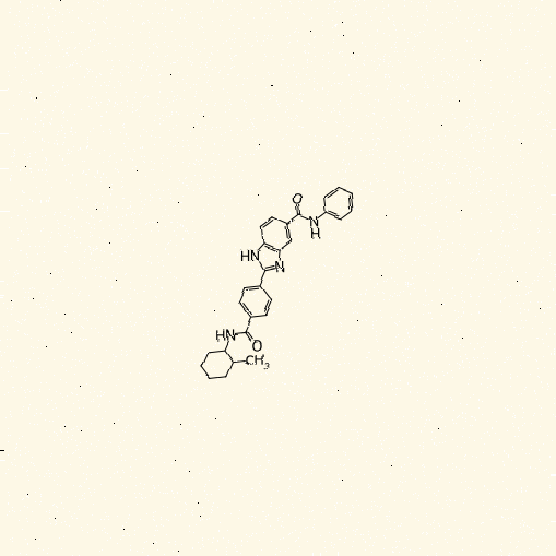 CC1CCCCC1NC(=O)c1ccc(-c2nc3cc(C(=O)Nc4ccccc4)ccc3[nH]2)cc1